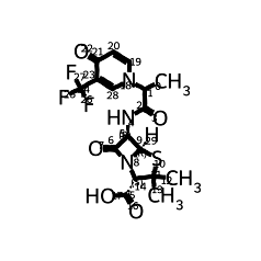 CC(C(=O)N[C@@H]1C(=O)N2[C@@H]1SC(C)(C)[C@@H]2C(=O)O)n1ccc(=O)c(C(F)(F)F)c1